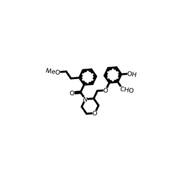 COCCc1ccccc1C(=O)N1CCOCC1COc1cccc(O)c1C=O